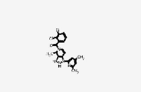 Cc1cc(C)nc(N2NNC3=C2C=CN(C(=O)c2cccc(Cl)c2Cl)C3C)c1